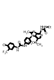 CCNC(=O)Nc1ncc(N(C)C)c2c1nc(C)n2-c1ccc(NC(=O)Nc2ccc(Cl)c(C(F)(F)F)c2)cc1